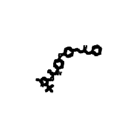 Cc1cc(OC(=O)Nc2ccc(Oc3ccc(CCNCc4ccccc4)cc3)cc2)n(C(C)(C)C)n1